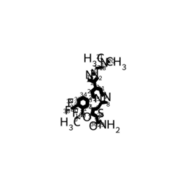 CC[C@@H](Oc1cc(-c2cnc3cc(-c4cnn(CCN(C)C)c4)ccn23)sc1C(N)=O)c1ccccc1C(F)(F)F